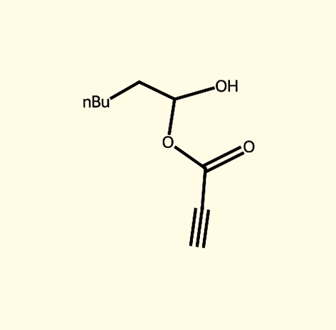 C#CC(=O)OC(O)CCCCC